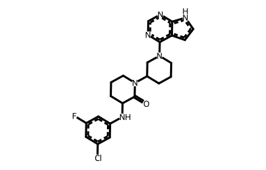 O=C1C(Nc2cc(F)cc(Cl)c2)CCCN1C1CCCN(c2ncnc3[nH]ccc23)C1